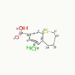 Cl.O=C(O)c1ccc2c(c1)SCCCC2